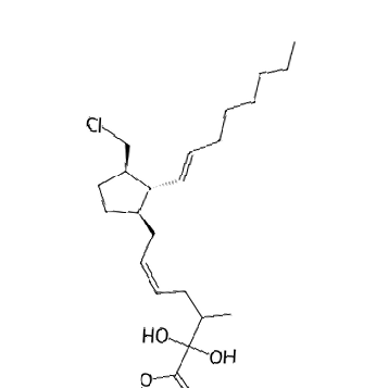 CCCCCC/C=C/[C@H]1[C@H](CCl)CC[C@@H]1C/C=C\CC(C)C(O)(O)C(=O)OC